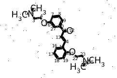 CN(C)CCOc1cccc(C(=O)C=Cc2ccccc2OCCN(C)C)c1